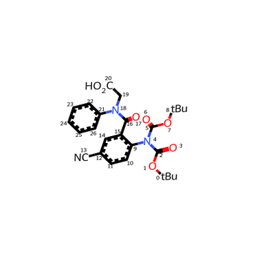 CC(C)(C)OC(=O)N(C(=O)OC(C)(C)C)c1ccc(C#N)cc1C(=O)N(CC(=O)O)c1ccccc1